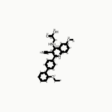 CCOc1ccccc1-c1ccc(-c2nc3ccc(OC)cc3c(NCC(=O)O)c2C#N)cc1